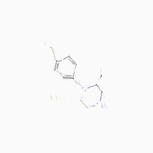 CC[C@H]1CNCCN1c1ccc(Cl)cc1.Cl